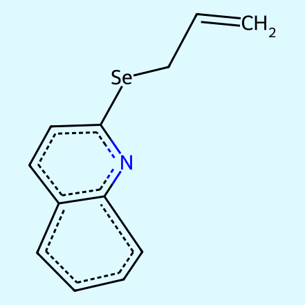 C=CC[Se]c1ccc2ccccc2n1